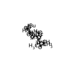 Cc1cn(-c2cc(F)c(C(N)=O)c(NC3CCCC3OC(=O)CNC(=O)OC(C)(C)C)c2)c2c1C(=O)CC(C)(C)C2